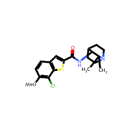 COc1ccc2cc(C(=O)NC3C4CCN(CC4)C3(C)C)sc2c1Cl